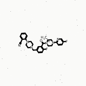 C[C@@H]1CN(c2ccc(F)cn2)CCN1C(=O)c1cc(CN2CCN(c3ccccc3C#N)CC2)ccc1F